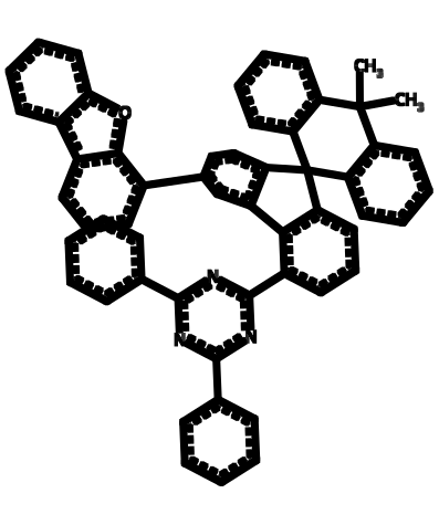 CC1(C)c2ccccc2C2(c3ccc(-c4cccc5c4oc4ccccc45)cc3-c3c(-c4nc(-c5ccccc5)nc(-c5ccccc5)n4)cccc32)c2ccccc21